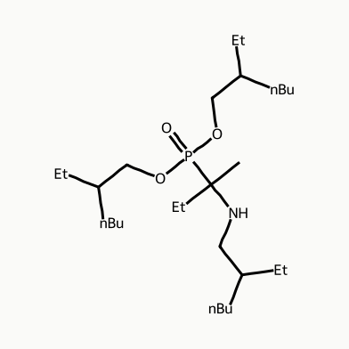 CCCCC(CC)CNC(C)(CC)P(=O)(OCC(CC)CCCC)OCC(CC)CCCC